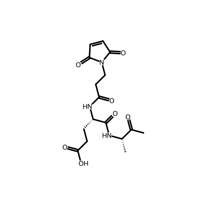 CC(=O)[C@H](C)NC(=O)[C@H](CCC(=O)O)NC(=O)CCN1C(=O)C=CC1=O